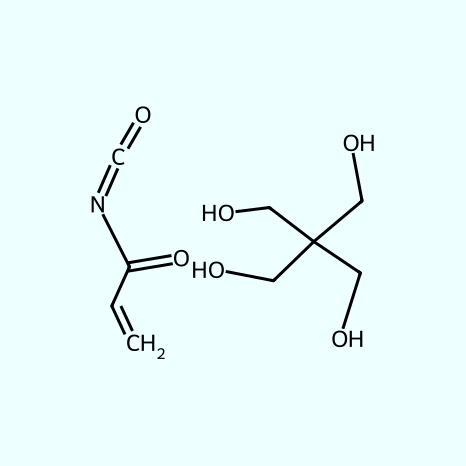 C=CC(=O)N=C=O.OCC(CO)(CO)CO